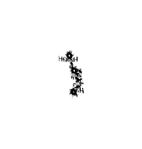 O=C(Cn1cc(Nc2ncnc3cc(OCCN[C@@H]4CCCC[C@H]4CO)ccc23)cn1)Nc1cccc(F)c1F